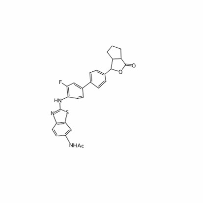 CC(=O)Nc1ccc2nc(Nc3ccc(-c4ccc(C5OC(=O)C6CCCC65)cc4)cc3F)sc2c1